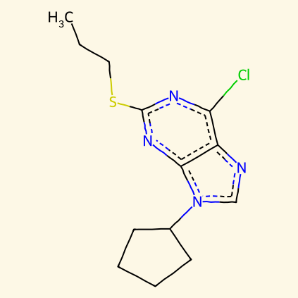 CCCSc1nc(Cl)c2ncn(C3CCCC3)c2n1